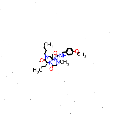 CCCCN1C[C@H]2N(C(=O)CN(C)N2C(=O)NCc2ccc(OC)cc2)[C@@H](CCC)C1=O